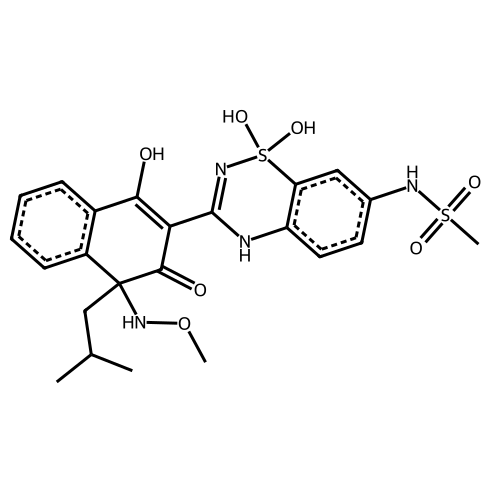 CONC1(CC(C)C)C(=O)C(C2=NS(O)(O)c3cc(NS(C)(=O)=O)ccc3N2)=C(O)c2ccccc21